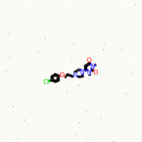 Cn1c(N2CCN(CCCOc3ccc(Cl)cc3)CC2)cc(=O)n(C)c1=O